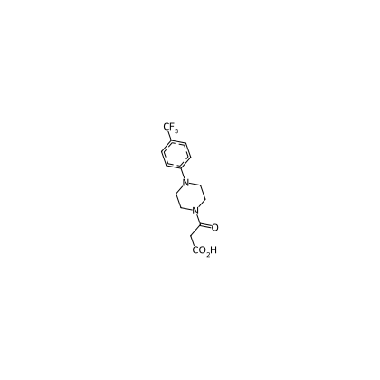 O=C(O)CC(=O)N1CCN(c2ccc(C(F)(F)F)cc2)CC1